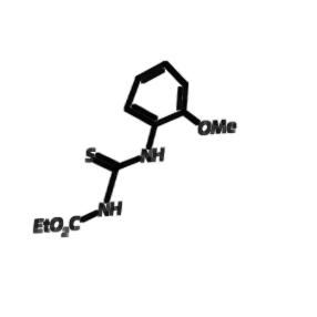 CCOC(=O)NC(=S)Nc1ccccc1OC